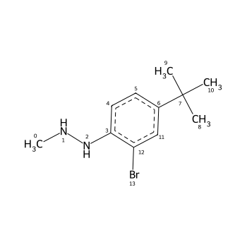 CNNc1ccc(C(C)(C)C)cc1Br